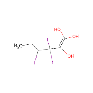 CCC(I)C(I)(I)C(O)=C(O)O